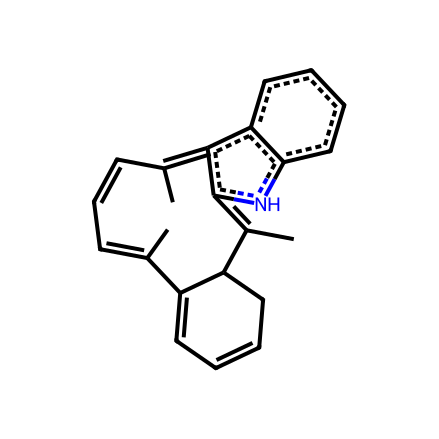 C/C1=c2/[nH]c3ccccc3/c2=C(C)\C=C/C=C(\C)C2=CC=CCC21